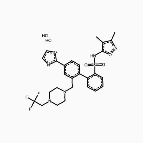 Cc1noc(NS(=O)(=O)c2ccccc2-c2ccc(-c3ncco3)cc2CN2CCN(CC(F)(F)F)CC2)c1C.Cl.Cl